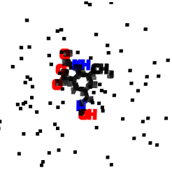 Cc1cc(C=NO)cc2c(=O)oc(=O)[nH]c12